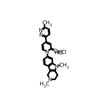 Cc1ccc(-c2ccn(-c3ccc4c5c(n(C)c4c3)CCN(C)C5)c(=O)c2)nn1.Cl.Cl